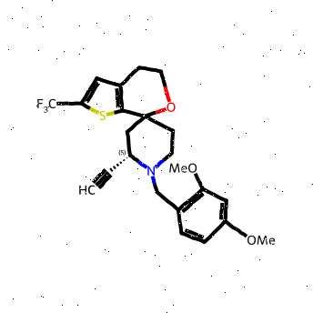 C#C[C@@H]1CC2(CCN1Cc1ccc(OC)cc1OC)OCCc1cc(C(F)(F)F)sc12